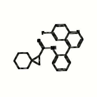 O=C(Nc1ccccc1-c1ccnc2ccc(F)cc12)C1CC12CCCCC2